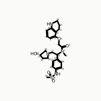 CN(C(=O)COc1cccc2c1CCCN2)C(CN1CC[C@H](O)C1)c1ccc(NS(C)(=O)=O)cc1